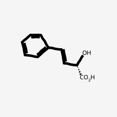 O=C(O)[C@@H](O)/C=C/c1ccccc1